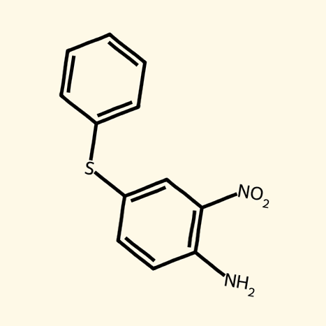 Nc1ccc(Sc2ccccc2)cc1[N+](=O)[O-]